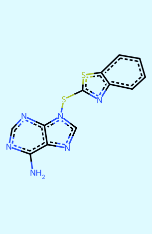 Nc1ncnc2c1ncn2Sc1nc2ccccc2s1